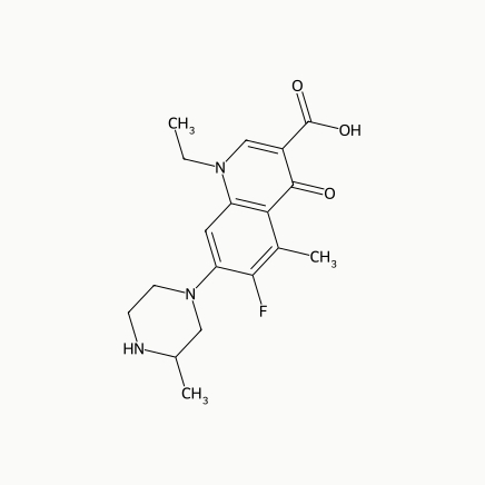 CCn1cc(C(=O)O)c(=O)c2c(C)c(F)c(N3CCNC(C)C3)cc21